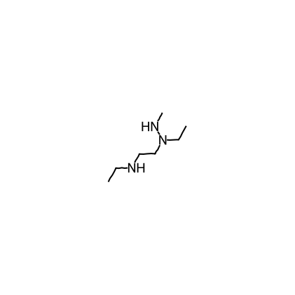 CCNCCN(CC)NC